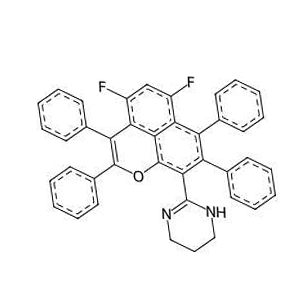 Fc1cc(F)c2c(-c3ccccc3)c(-c3ccccc3)c(C3=NCCCN3)c3c2c1C(c1ccccc1)=C(c1ccccc1)O3